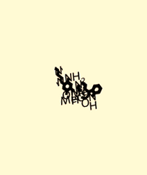 COC(=O)c1[nH]c2ccccc2c1-c1ccnc(Nc2cc(N)c(N(C)CCN(C)C)cc2OC)n1